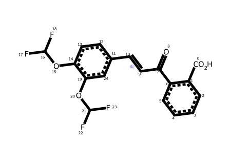 O=C(O)c1ccccc1C(=O)/C=C/c1ccc(OC(F)F)c(OC(F)F)c1